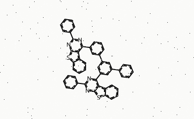 c1ccc(-c2cc(-c3cccc(-c4nc(-c5ccccc5)nc5sc6ccccc6c45)c3)cc(-c3nc(-c4ccccc4)nc4sc5ccccc5c34)c2)cc1